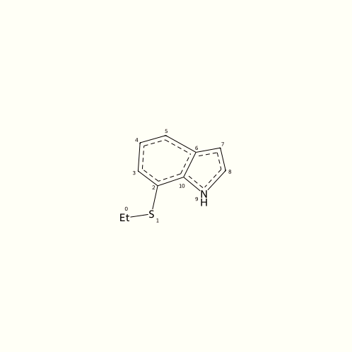 CCSc1cccc2cc[nH]c12